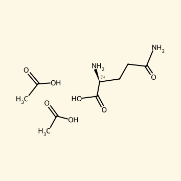 CC(=O)O.CC(=O)O.NC(=O)CC[C@H](N)C(=O)O